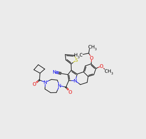 COc1cc2c(cc1OC(C)C)-c1c(-c3cccs3)c(C#N)c(C(=O)N3CCCN(C(=O)C4CCC4)CC3)n1CC2